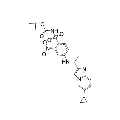 CC(Nc1ccc(S(=O)(=O)NC(=O)OC(C)(C)C)c([N+](=O)[O-])c1)c1cn2cc(C3CC3)ccc2n1